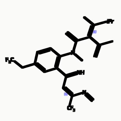 C=N/C(=C\C(=N)c1cc(CC(F)(F)F)ccc1N(C)C(=C)/C(C(=C)C)=C(\C)C(C)C)C(F)(F)F